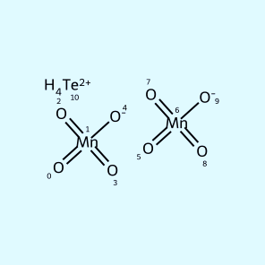 [O]=[Mn](=[O])(=[O])[O-].[O]=[Mn](=[O])(=[O])[O-].[TeH4+2]